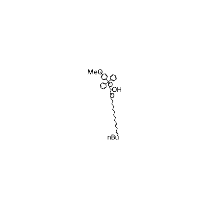 CCCCC=CCC=CCCCCCCCCCOCC(O)COC(c1ccccc1)(c1ccccc1)c1ccc(OC)cc1